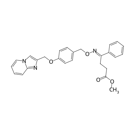 COC(=O)CC/C(=N\OCc1ccc(OCc2cn3ccccc3n2)cc1)c1ccccc1